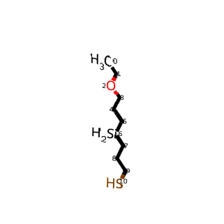 CCOCCC[SiH2]CCCS